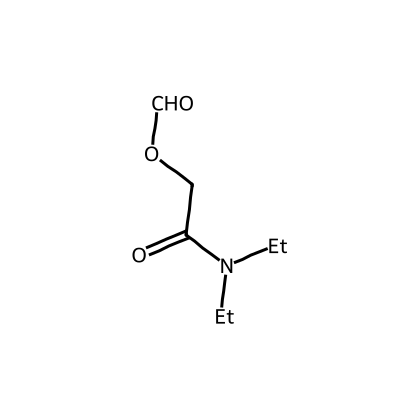 CCN(CC)C(=O)COC=O